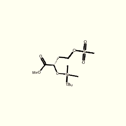 COC(=O)[C@H](CCOS(C)(=O)=O)O[Si](C)(C)C(C)(C)C